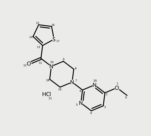 COc1ccnc(N2CCN(C(=O)c3cccs3)CC2)n1.Cl